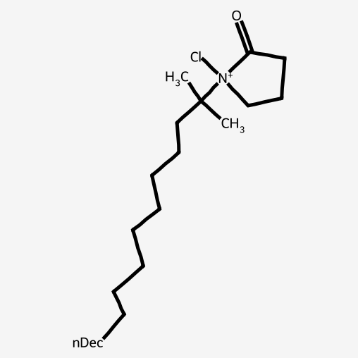 CCCCCCCCCCCCCCCCCCC(C)(C)[N+]1(Cl)CCCC1=O